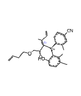 C=CCCOCC(=O)/C(=C(\C)C=C)[C@@H](c1ccc(C#N)cc1C)c1c(O)ccc(C)c1C